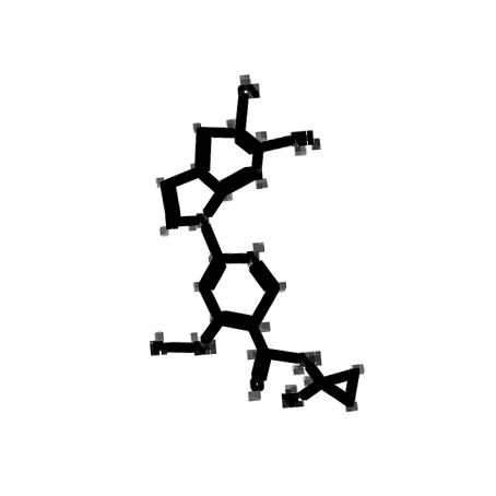 CC(C)Nc1cc(-n2ncc3cc(C#N)c(N)nc32)ncc1C(=O)NC1(C#N)CC1